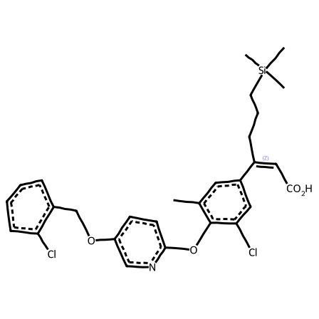 Cc1cc(/C(=C\C(=O)O)CCC[Si](C)(C)C)cc(Cl)c1Oc1ccc(OCc2ccccc2Cl)cn1